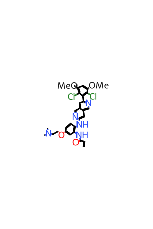 C=CC(=O)Nc1cc(OCCN(C)C)ccc1Nc1cc2cnc(-c3c(Cl)c(OC)cc(OC)c3Cl)cc2cn1